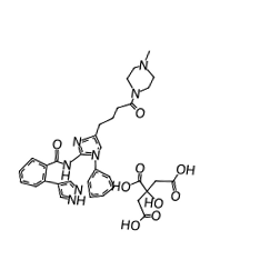 CN1CCN(C(=O)CCCc2cn(-c3ccccc3)c(NC(=O)c3ccccc3-c3cn[nH]c3)n2)CC1.O=C(O)CC(O)(CC(=O)O)C(=O)O